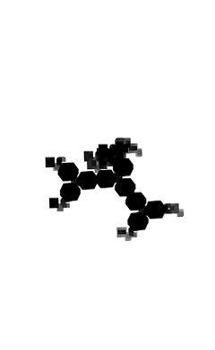 Cc1ccc(N(c2ccc(C)cc2)c2ccc(-c3ccc(N(c4ccc(-c5ccc(N(c6ccc(C)cc6)c6ccc(C)cc6)cc5)cc4)c4cccc([Si](C)(O[Si](C)(C)C)O[Si](C)(C)C)c4)cc3)cc2)cc1